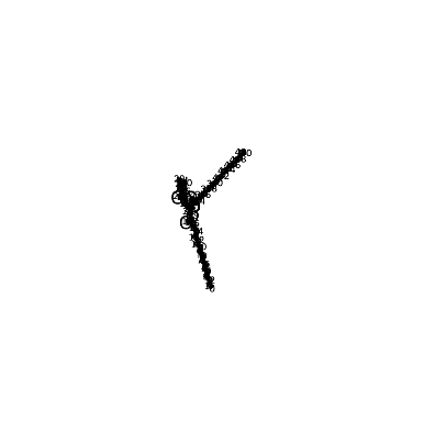 CCCCCCCCCCCCCCCCCC(=O)OC[C@H](COC(=O)CCN(C)C)OC(=O)CCCCCCCCCCCCCCCCC